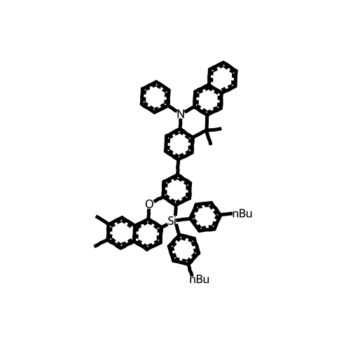 CCCCc1ccc([Si]2(c3ccc(CCCC)cc3)c3ccc(-c4ccc5c(c4)C(C)(C)c4cc6ccccc6cc4N5c4ccccc4)cc3Oc3c2ccc2cc(C)c(C)cc32)cc1